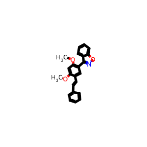 COc1cc(OC)c(-c2noc3ccccc23)cc1/C=C/c1ccccc1